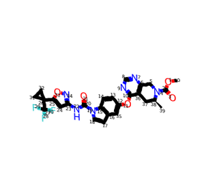 COC(=O)N1Cc2ncnc(Oc3ccc4c(ccn4C(=O)Nc4cc(C5(C(F)(F)F)CC5)on4)c3)c2C[C@@H]1C